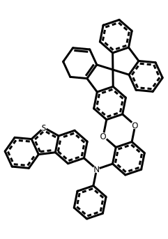 C1=CC2=C(CC1)c1cc3c(cc1C21c2ccccc2-c2ccccc21)Oc1cccc(N(c2ccccc2)c2ccc4sc5ccccc5c4c2)c1O3